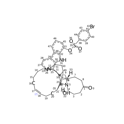 O=C1CCCN2[C@@H](CC1)C[C@]13CN4CCCC/C=C\CC[C@](O)(C=C(c5nccc6c5[nH]c5c(OS(=O)(=O)c7ccc(Br)cc7)cccc56)C1CC4)[C@H]23